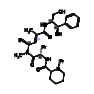 C/C(=C\[C@H](C(C)C)N(C)C(=O)[C@@H](NC(=O)C1CCCCN1C(C)C)C(C)C)C(=O)N[C@@H](CO)[C@H](O)c1ccccc1